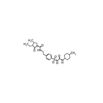 CCC1C(=O)N(C(=O)NCCc2ccc(S(=O)(=O)NC(=O)NC3CCC(C)CC3)cc2)CC1C